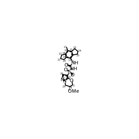 CO[C@H]1COc2c(S(=O)(=O)NC(=O)Nc3c4c(c(C)c5c3CCC5)CCC4)cnn2C1